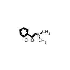 CN(C)C=C([C]=O)c1ccccc1